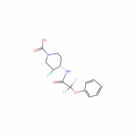 O=C(O)N1CC[C@H](NC(=O)C(F)(F)Oc2ccccc2)[C@@H](F)C1